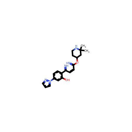 CC1(C)CC(OC(=N)/C=C\C(=N)c2ccc(-n3cccn3)cc2O)CCN1